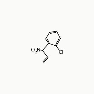 C=CC(c1ccccc1Cl)[N+](=O)[O-]